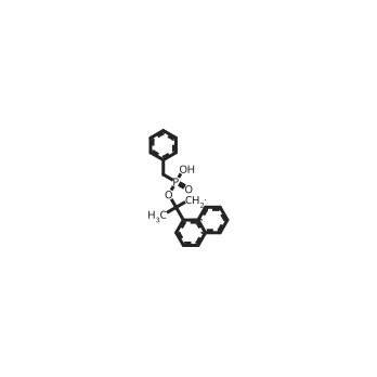 [CH2]C(C)(OP(=O)(O)Cc1ccccc1)c1cccc2ccccc12